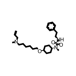 C=CCN(C)CCCCCCO[C@H]1CC[C@H](N(C)S(=O)(=O)NCCc2ccccc2)CC1